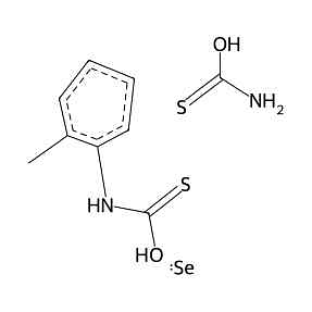 Cc1ccccc1NC(O)=S.NC(O)=S.[Se]